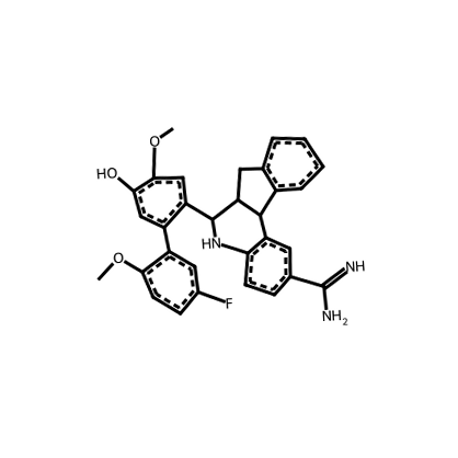 COc1cc(C2Nc3ccc(C(=N)N)cc3C3c4ccccc4CC23)c(-c2cc(F)ccc2OC)cc1O